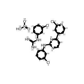 Clc1cccc(Nc2nccc(-c3ccnc(Cl)c3)n2)c1.N=C(N)Nc1cccc(Cl)c1.O=[N+]([O-])O